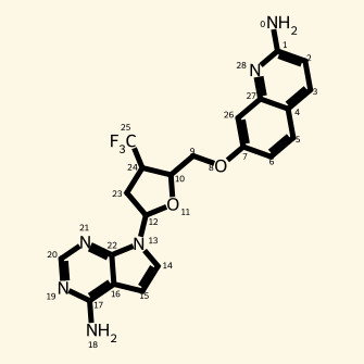 Nc1ccc2ccc(OCC3OC(n4ccc5c(N)ncnc54)CC3C(F)(F)F)cc2n1